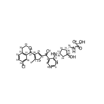 Cc1sc(C(=O)c2cncnc2N[C@@H]2C[C@H](CNS(=O)(=O)O)[C@@H](O)C2)cc1[C@@H]1OCCc2ccc(Cl)cc21